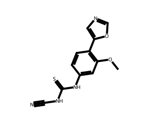 COc1cc(NC(=S)NC#N)ccc1-c1cnco1